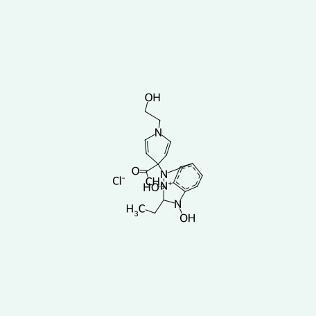 CCC1N(O)c2ccc3cc2[N+]1(O)N3C1(C(C)=O)C=CN(CCO)C=C1.[Cl-]